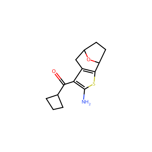 Nc1sc2c(c1C(=O)C1CCC1)CC1CCC2O1